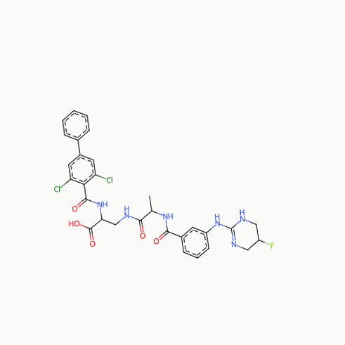 CC(NC(=O)c1cccc(NC2=NCC(F)CN2)c1)C(=O)NCC(NC(=O)c1c(Cl)cc(-c2ccccc2)cc1Cl)C(=O)O